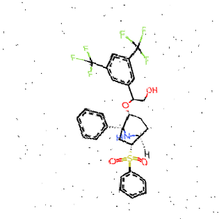 O=S(=O)(c1ccccc1)[C@@H]1C[C@]2(c3ccccc3)N[C@H]1CC[C@H]2O[C@H](CO)c1cc(C(F)(F)F)cc(C(F)(F)F)c1